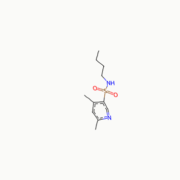 CCCCNS(=O)(=O)c1cnc(C)cc1C